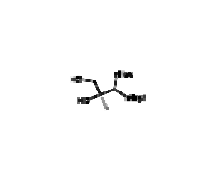 CCCCCCCC(CCCCCC)[C@@](C)(O)CO